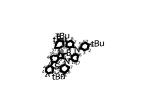 CC(C)(C)c1ccc(N2c3ccc(C(C)(C)C)cc3B3c4c2cccc4N(c2ccc(C(C)(C)C)cc2)c2c3n(-c3ccc(C(C)(C)C)cc3)c3ccc4c5ccccc5sc4c23)cc1